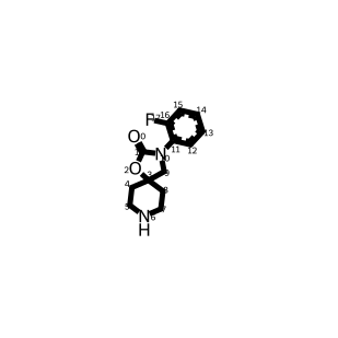 O=C1OC2(CCNCC2)CN1c1ccccc1F